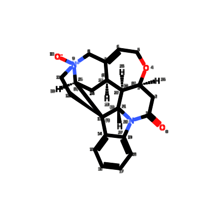 O=C1C[C@@H]2OCC=C3C[N+]4([O-])CC[C@]56c7ccccc7N1[C@H]5[C@H]2[C@H]3C[C@@H]64